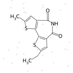 CCc1cc2c(=O)[nH]c(=O)c3cc(C)sc3c2s1